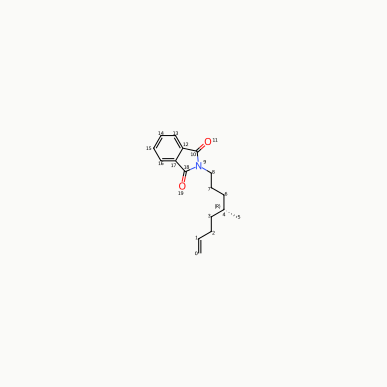 C=CCC[C@@H](C)CCCN1C(=O)c2ccccc2C1=O